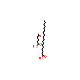 CC(=O)CCCC(=O)O.CCCCCCCCCCCCCCCCCC(=O)O